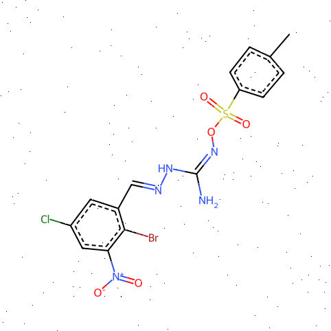 Cc1ccc(S(=O)(=O)ON=C(N)NN=Cc2cc(Cl)cc([N+](=O)[O-])c2Br)cc1